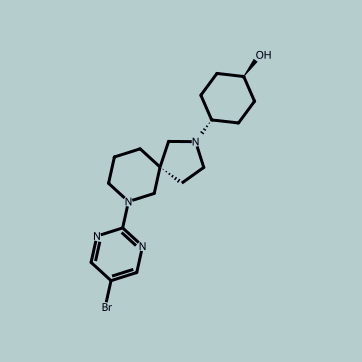 O[C@H]1CC[C@H](N2CC[C@]3(CCCN(c4ncc(Br)cn4)C3)C2)CC1